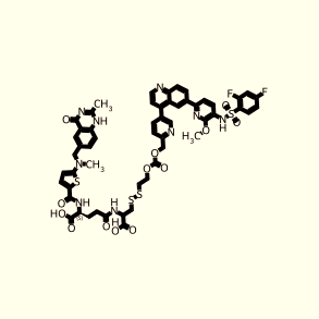 COc1nc(-c2ccc3nccc(-c4ccc(COC(=O)OCCSSCC(NC(=O)CC[C@H](NC(=O)c5ccc(N(C)Cc6ccc7[nH]c(C)nc(=O)c7c6)s5)C(=O)O)C(=O)O)nc4)c3c2)ccc1NS(=O)(=O)c1ccc(F)cc1F